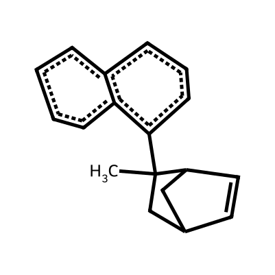 CC1(c2cccc3ccccc23)CC2C=CC1C2